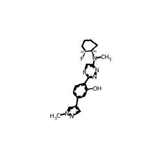 CN(c1cnc(-c2ccc(-c3cnn(C)c3)cc2O)nn1)[C@@H]1CCCC[C@@H]1F